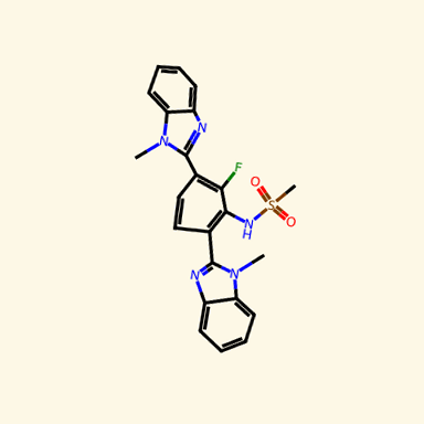 Cn1c(-c2ccc(-c3nc4ccccc4n3C)c(NS(C)(=O)=O)c2F)nc2ccccc21